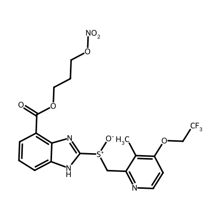 Cc1c(OCC(F)(F)F)ccnc1C[S+]([O-])c1nc2c(C(=O)OCCCO[N+](=O)[O-])cccc2[nH]1